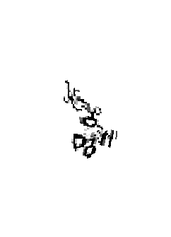 CCCNC(=O)N1CCN(C(=O)c2cccc(CN3C(=N)NC(c4ccccc4)(c4ccccc4)C3=O)c2)CC1